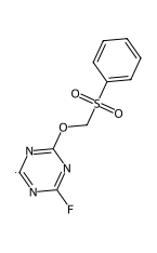 O=S(=O)(COc1n[c]nc(F)n1)c1ccccc1